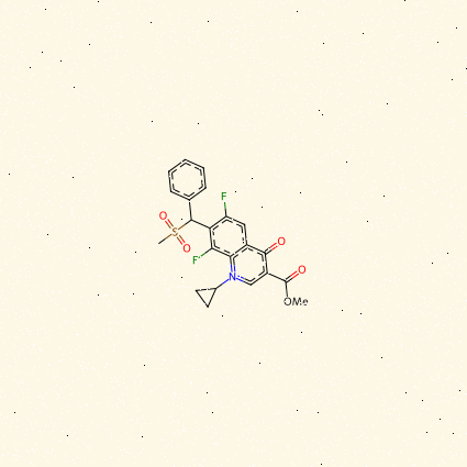 COC(=O)c1cn(C2CC2)c2c(F)c(C(c3ccccc3)S(C)(=O)=O)c(F)cc2c1=O